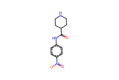 O=C(Nc1ccc([N+](=O)[O-])cc1)C1CCNCC1